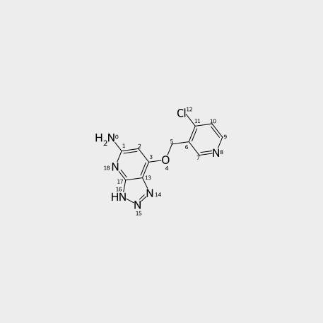 Nc1cc(OCc2cnccc2Cl)c2nn[nH]c2n1